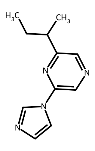 CCC(C)c1cncc(-n2ccnc2)n1